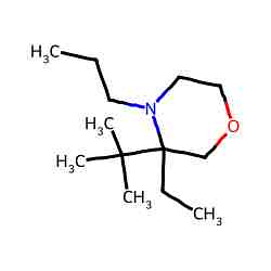 CCCN1CCOCC1(CC)C(C)(C)C